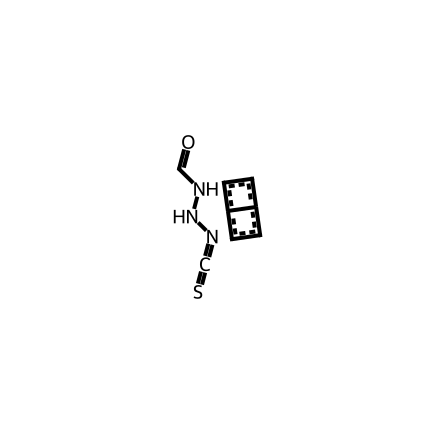 O=CNNN=C=S.c1cc2ccc1-2